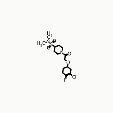 CN(C)S(=O)(=O)C1CCN(C(=O)COC2CCC(F)=C(Cl)C2)CC1